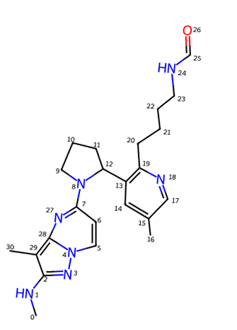 CNc1nn2ccc(N3CCCC3c3cc(C)cnc3CCCCNC=O)nc2c1C